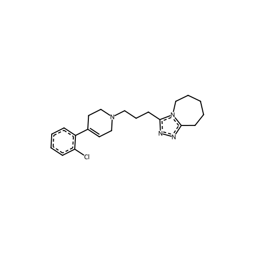 Clc1ccccc1C1=CCN(CCCc2nnc3n2CCCCC3)CC1